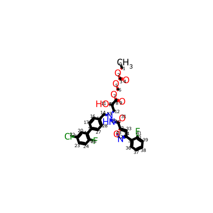 CCOC(=O)OCOC(=O)[C@H](O)CN(Cc1ccc(-c2cc(Cl)ccc2F)cc1)NC(=O)c1cc(-c2ccccc2F)no1